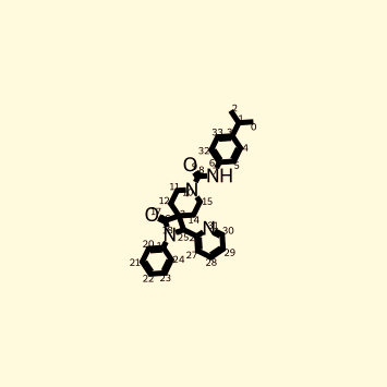 CC(C)c1ccc(NC(=O)N2CCC3(CC2)C(=O)N(c2ccccc2)C3c2ccccn2)cc1